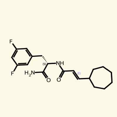 NC(=O)[C@H](Cc1cc(F)cc(F)c1)NC(=O)/C=C/C1CCCCCC1